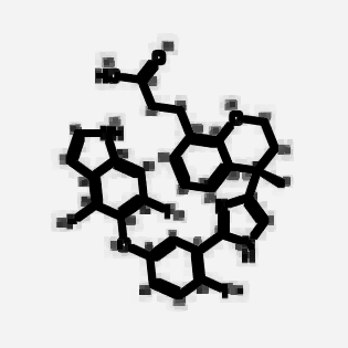 C[C@]1(c2c[nH]c(-c3cc(Oc4c(F)cc5[nH]ccc5c4F)ccc3F)n2)CCOc2c(CCC(=O)O)cccc21